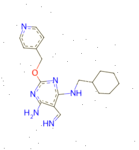 N=Cc1c(N)nc(OCc2ccncc2)nc1NCC1CCCCC1